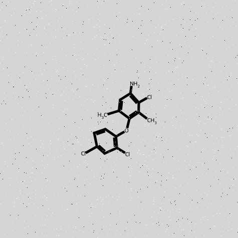 Cc1cc(N)c(Cl)c(C)c1Oc1ccc(Cl)cc1Cl